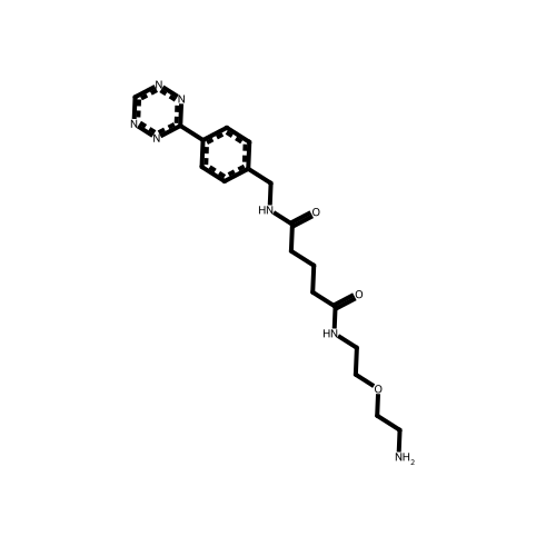 NCCOCCNC(=O)CCCC(=O)NCc1ccc(-c2nncnn2)cc1